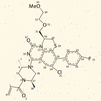 C=CC(=O)N1C[C@H](C)N(c2nc(=O)n3c4c(c(-c5ccc(F)cc5)c(Cl)cc24)SC[C@@H]3COCCOC)C[C@H]1C